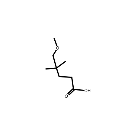 COCC(C)(C)CCC(=O)O